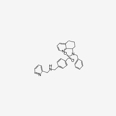 O=S(=O)(c1ccc(CNCc2ccccn2)cc1)N(Cc1ccccc1)C1CCCc2cccnc21